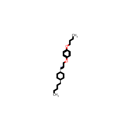 CCCCC[C@H]1CC[C@H](/C=C/COc2ccc(OCCCC)cc2)CC1